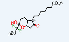 CCCCC(F)(F)[C@@]1(O)CCC2C(CC(=O)[C@@H]2CCCCCCC(=O)O)O1